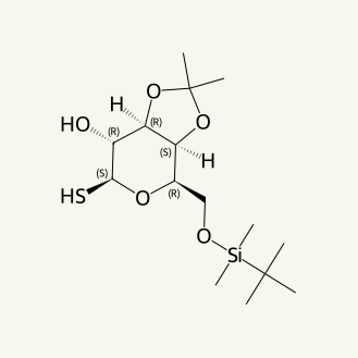 CC1(C)O[C@@H]2[C@@H](O)[C@H](S)O[C@H](CO[Si](C)(C)C(C)(C)C)[C@@H]2O1